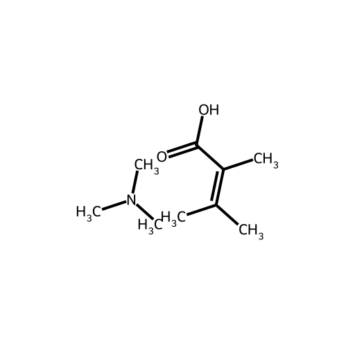 CC(C)=C(C)C(=O)O.CN(C)C